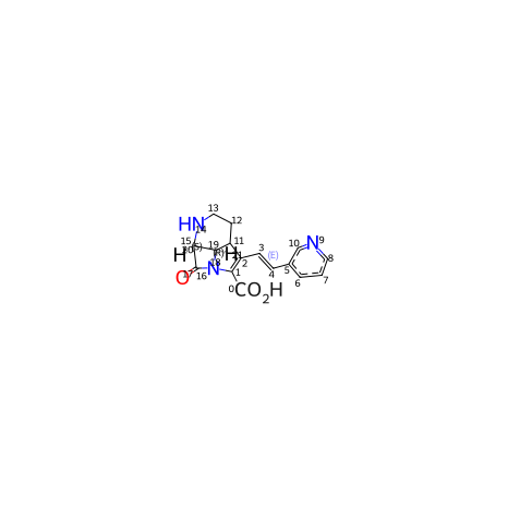 O=C(O)C1=C(/C=C/c2cccnc2)C2CCN[C@@H]3C(=O)N1[C@H]23